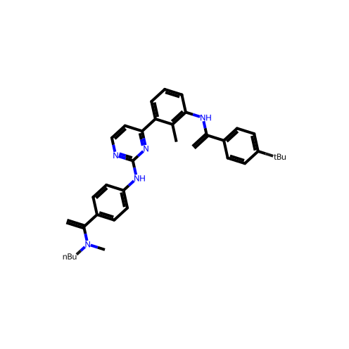 C=C(Nc1cccc(-c2ccnc(Nc3ccc(C(=C)N(C)CCCC)cc3)n2)c1C)c1ccc(C(C)(C)C)cc1